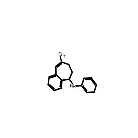 CC1=Cc2ccccc2C(NC2=CCC=C=C2)CC1